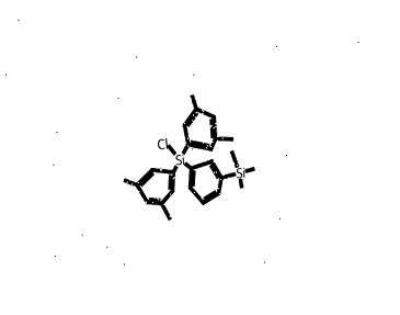 Cc1cc(C)cc([Si](Cl)(c2cc(C)cc(C)c2)c2cccc([Si](C)(C)C)c2)c1